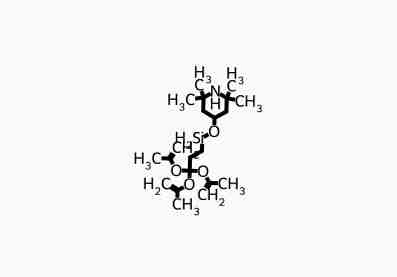 C=C(C)OC(CC[SiH2]OC1CC(C)(C)NC(C)(C)C1)(OC(=C)C)OC(=C)C